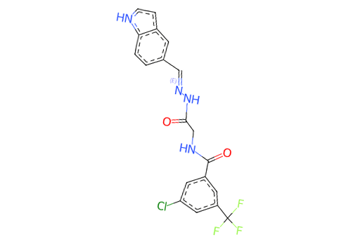 O=C(CNC(=O)c1cc(Cl)cc(C(F)(F)F)c1)N/N=C/c1ccc2[nH]ccc2c1